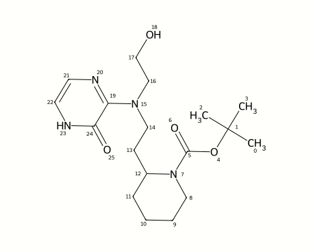 CC(C)(C)OC(=O)N1CCCCC1CCN(CCO)c1ncc[nH]c1=O